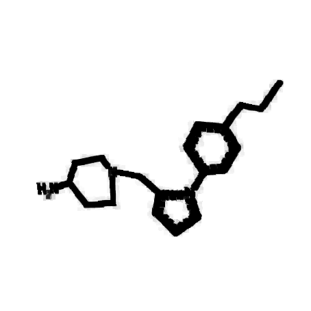 CCCc1ccc(-n2cccc2CN2CCC(N)CC2)cc1